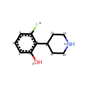 Oc1cccc(F)c1C1CCNCC1